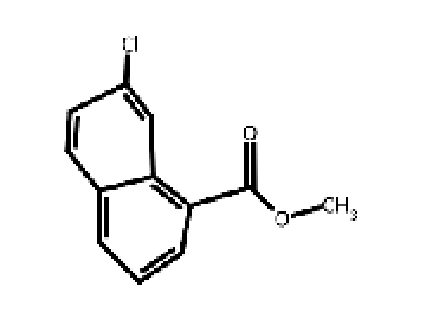 COC(=O)c1cccc2ccc(Cl)cc12